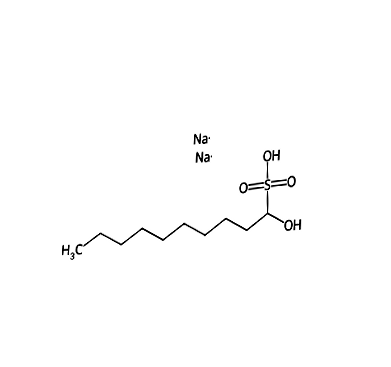 CCCCCCCCCC(O)S(=O)(=O)O.[Na].[Na]